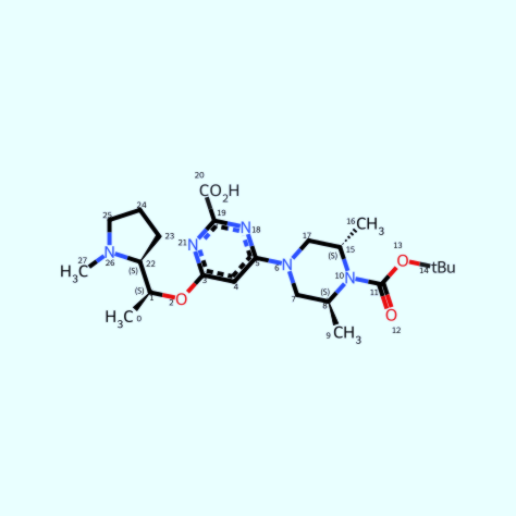 C[C@H](Oc1cc(N2C[C@H](C)N(C(=O)OC(C)(C)C)[C@@H](C)C2)nc(C(=O)O)n1)[C@@H]1CCCN1C